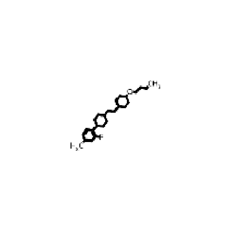 CCCCOC1CCC(CCC2CCC(c3ccc(C)cc3F)CC2)CC1